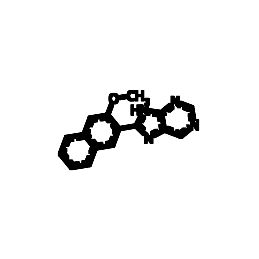 COc1cc2ccccc2cc1-c1nc2cncnc2[nH]1